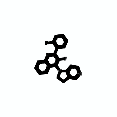 Fc1ccccc1-c1nc2ccccc2c(N2CCc3cnccc32)c1F